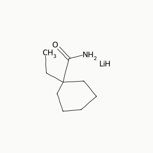 CCC1(C(N)=O)CCCCC1.[LiH]